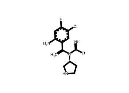 C=C(c1cc(Cl)c(F)cc1N)N(C(=N)CC)[C@H]1CCNC1